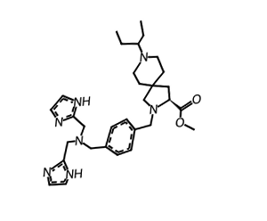 CCC(CC)N1CCC2(CC1)C[C@@H](C(=O)OC)N(Cc1ccc(CN(Cc3ncc[nH]3)Cc3ncc[nH]3)cc1)C2